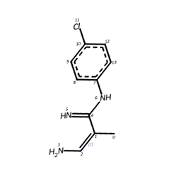 C/C(=C/N)C(=N)Nc1ccc(Cl)cc1